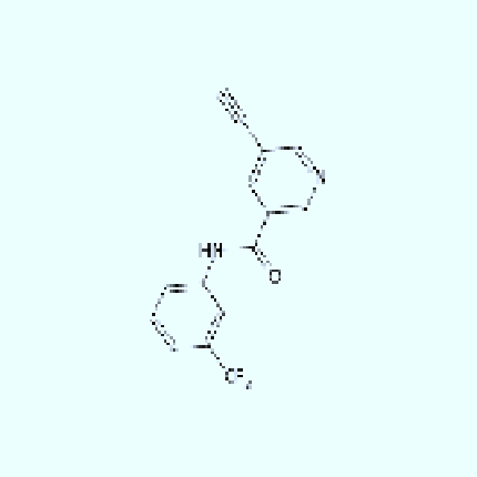 C#Cc1cncc(C(=O)Nc2cccc(C(F)(F)F)c2)c1